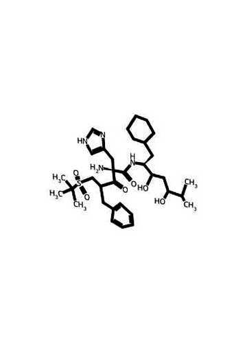 CC(C)C(O)CC(O)[C@H](CC1CCCCC1)NC(=O)[C@@](N)(Cc1c[nH]cn1)C(=O)C(Cc1ccccc1)CS(=O)(=O)C(C)(C)C